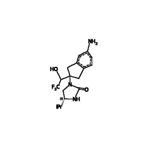 CC(C)[C@@H]1CN(C2(C(O)C(F)(F)F)Cc3ccc(N)cc3C2)C(=O)N1